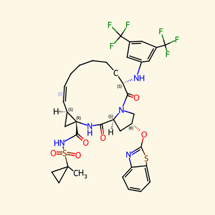 CC1(S(=O)(=O)NC(=O)[C@@]23C[C@H]2/C=C\CCCCC[C@H](Nc2cc(C(F)(F)F)cc(C(F)(F)F)c2)C(=O)N2C[C@H](Oc4nc5ccccc5s4)C[C@H]2C(=O)N3)CC1